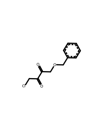 O=C(CCl)C(=O)COCc1ccccc1